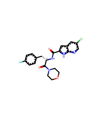 O=C(N[C@@H](Cc1ccc(F)cc1)C(=O)N1CCOCC1)c1cc2cc(Cl)cnc2[nH]1